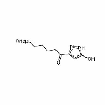 CCCCCCCCCCCC(=O)c1cc(O)[nH]n1